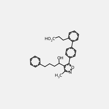 Cc1noc(-c2ccc(-c3ccccc3CCC(=O)O)cc2)c1C(O)CCCc1ccccc1